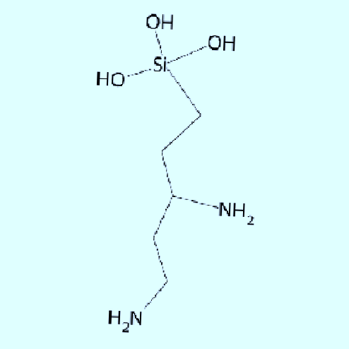 NCCC(N)CC[Si](O)(O)O